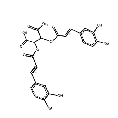 O=C(/C=C/c1ccc(O)c(O)c1)OC(C(=O)O)C(OC(=O)/C=C/c1ccc(O)c(O)c1)C(=O)O